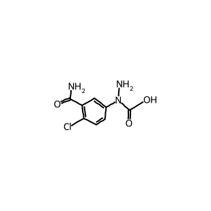 NC(=O)c1cc(N(N)C(=O)O)ccc1Cl